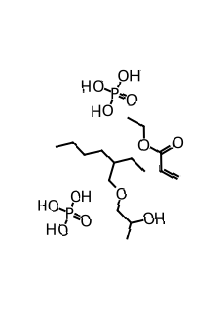 C=CC(=O)OCC.CCCCC(CC)COCC(C)O.O=P(O)(O)O.O=P(O)(O)O